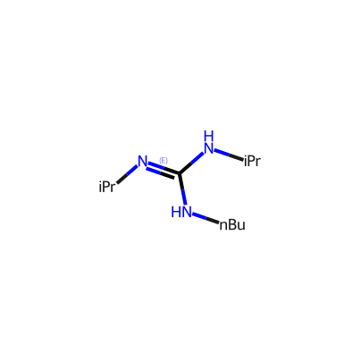 CCCCN/C(=N\C(C)C)NC(C)C